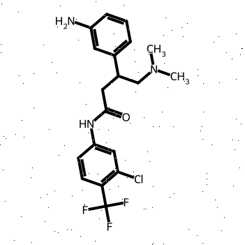 CN(C)CC(CC(=O)Nc1ccc(C(F)(F)F)c(Cl)c1)c1cccc(N)c1